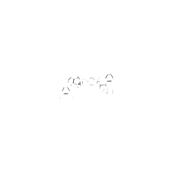 COc1ccc(-n2ccc3c(=O)n(CC4(O)CCN(C(=O)[C@@H]5CCNC[C@H]5c5ccccc5)CC4)cnc32)cc1OC